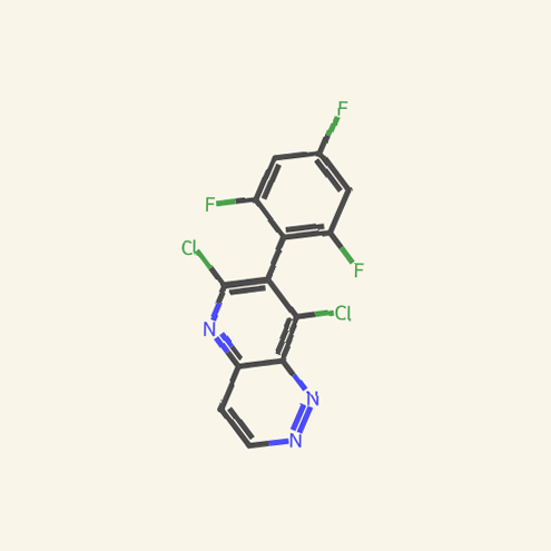 Fc1cc(F)c(-c2c(Cl)nc3ccnnc3c2Cl)c(F)c1